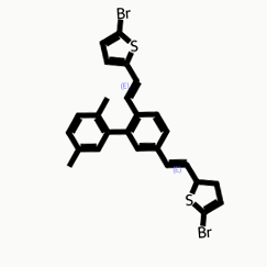 Cc1ccc(C)c(-c2cc(/C=C/C3CC=C(Br)S3)ccc2/C=C/c2ccc(Br)s2)c1